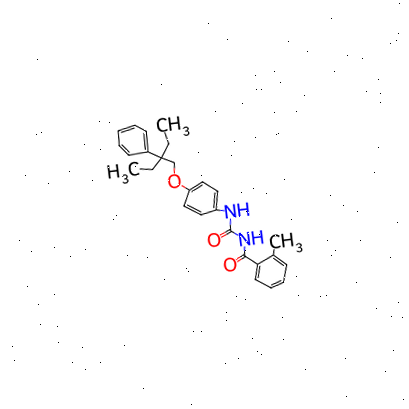 CCC(CC)(COc1ccc(NC(=O)NC(=O)c2ccccc2C)cc1)c1ccccc1